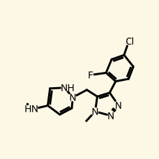 CNC1=CNN(Cc2c(-c3ccc(Cl)cc3F)nnn2C)C=C1